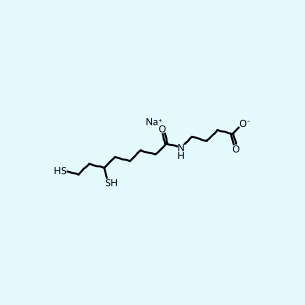 O=C([O-])CCCNC(=O)CCCCC(S)CCS.[Na+]